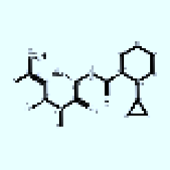 C/C(=C\[C@H](C(C)C)N(C)C(=O)[C@@H](NC(=O)[C@H]1CCCCN1C1CC1)C(C)(C)C)C(=O)O